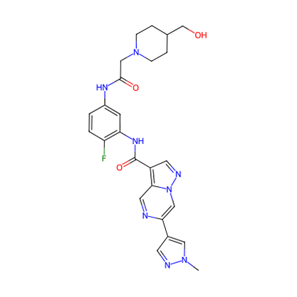 Cn1cc(-c2cn3ncc(C(=O)Nc4cc(NC(=O)CN5CCC(CO)CC5)ccc4F)c3cn2)cn1